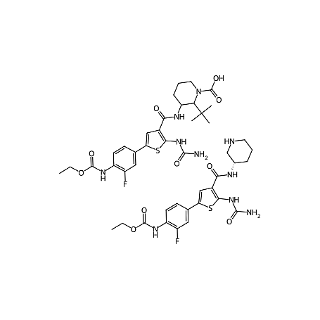 CCOC(=O)Nc1ccc(-c2cc(C(=O)NC3CCCN(C(=O)O)C3C(C)(C)C)c(NC(N)=O)s2)cc1F.CCOC(=O)Nc1ccc(-c2cc(C(=O)N[C@H]3CCCNC3)c(NC(N)=O)s2)cc1F